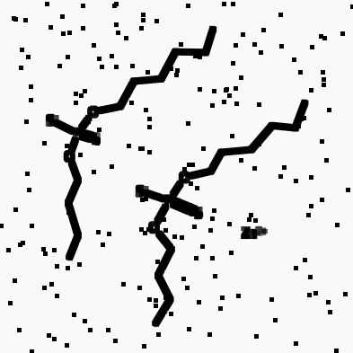 CCCCCCOP(=S)([S-])OCCCC.CCCCCCOP(=S)([S-])OCCCC.[Zn+2]